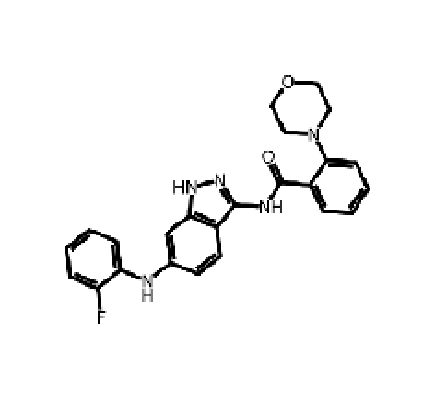 O=C(Nc1n[nH]c2cc(Nc3ccccc3F)ccc12)c1ccccc1N1CCOCC1